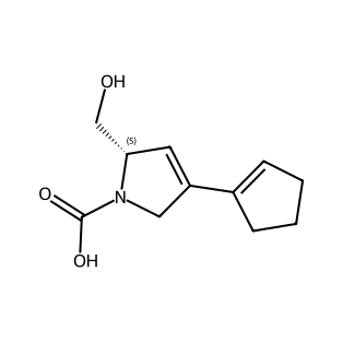 O=C(O)N1CC(C2=CCCC2)=C[C@H]1CO